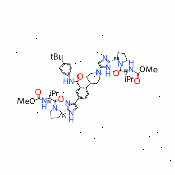 COC(=O)N[C@H](C(=O)N1CCC[C@H]1c1nc(-c2ccc(C3CCN(c4cnc([C@@H]5CCCN5C(=O)[C@@H](NC(=O)OC)C(C)C)[nH]4)CC3)c(C(=O)Nc3ccc(C(C)(C)C)cc3)c2)c[nH]1)C(C)C